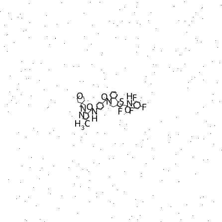 Cc1cnc(N2CC3(CCOCC3)C2)c(C(=O)Nc2ccc(C(=O)N3CCc4c(sc(C(=O)Nc5c(F)cc(F)cc5F)c4F)-c4ccccc43)cc2)c1